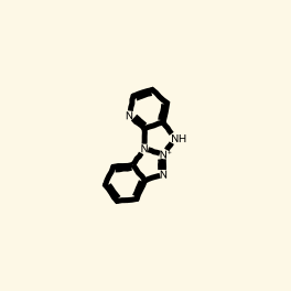 c1ccc2c(c1)n[n+]1[nH]c3cccnc3n21